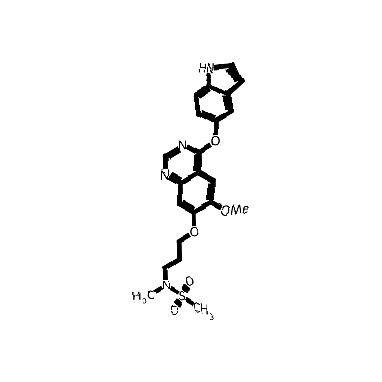 COc1cc2c(Oc3ccc4[nH]ccc4c3)ncnc2cc1OCCCN(C)S(C)(=O)=O